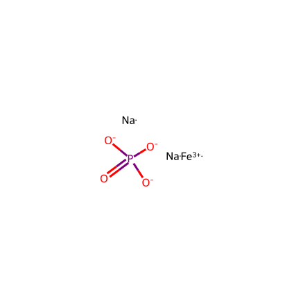 O=P([O-])([O-])[O-].[Fe+3].[Na].[Na]